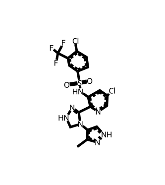 Cc1n[nH]cc1N1CNN=C1c1ncc(Cl)cc1NS(=O)(=O)c1ccc(Cl)c(C(F)(F)F)c1